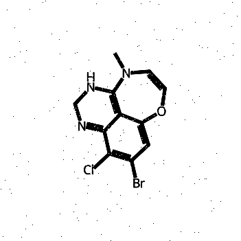 CN1C=COc2cc(Br)c(Cl)c3c2=C1NCN=3